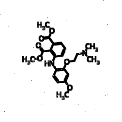 COC(=O)c1cccc(Nc2ccc(OC)cc2OCCN(C)C)c1C(=O)OC